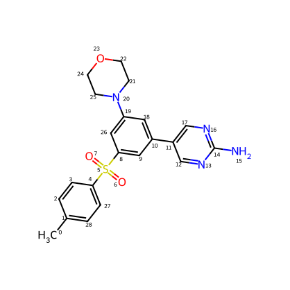 Cc1ccc(S(=O)(=O)c2cc(-c3cnc(N)nc3)cc(N3CCOCC3)c2)cc1